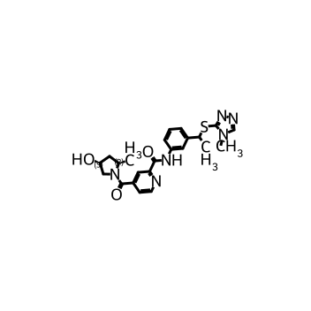 CC(Sc1nncn1C)c1cccc(NC(=O)c2cc(C(=O)N3C[C@@H](O)C[C@H]3C)ccn2)c1